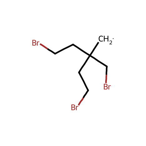 [CH2]C(CBr)(CCBr)CCBr